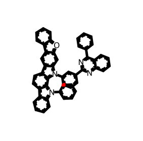 c1ccc(-c2nc(-c3cccc(-n4c5cc6oc7ccccc7c6cc5c5ccc6c7ccccc7n(-c7ccccc7)c6c54)c3)nc3ccccc23)cc1